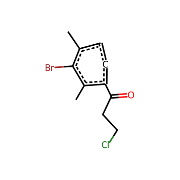 Cc1ccc(C(=O)CCCl)c(C)c1Br